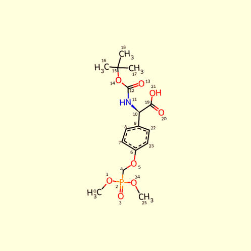 COP(=O)(COc1ccc([C@@H](NC(=O)OC(C)(C)C)C(=O)O)cc1)OC